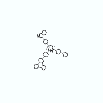 C1=CC(c2ccccc2)CC=C1C1=NC(c2ccc(-c3ccc4c5ccccc5c5ccccc5c4c3)cc2)=NC(c2ccc(-c3cncc4ccccc34)cc2)=CC1